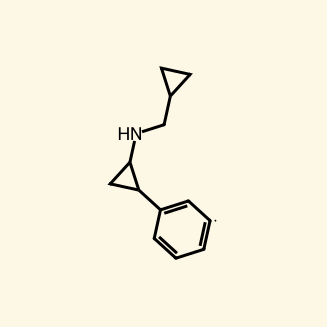 [c]1cccc(C2CC2NCC2CC2)c1